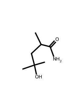 CC(CC(C)(C)O)C(N)=O